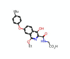 CCOc1nc(C(=O)NCC(=O)O)c(O)c2ccc(Oc3ccc(C(C)(C)C)cc3)cc12